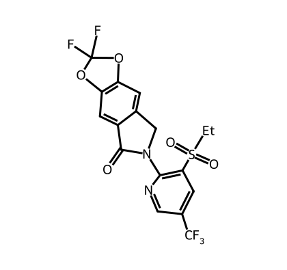 CCS(=O)(=O)c1cc(C(F)(F)F)cnc1N1Cc2cc3c(cc2C1=O)OC(F)(F)O3